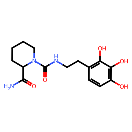 NC(=O)C1CCCCN1C(=O)NCCc1ccc(O)c(O)c1O